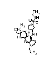 CCNS(=O)(=O)N1CCC(Nc2nc(N[C@@H](CC)[C@@H](C)O)nc3c2ncn3CC)C1